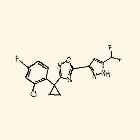 Fc1ccc(C2(c3noc(-c4cc(C(F)F)[nH]n4)n3)CC2)c(Cl)c1